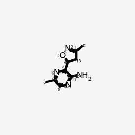 CC1=NOC(c2nc(C)cnc2N)C1